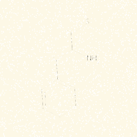 NC(C=S)Cc1ccccc1